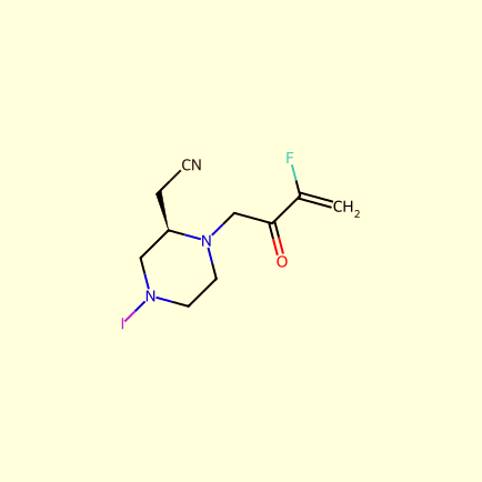 C=C(F)C(=O)CN1CCN(I)C[C@H]1CC#N